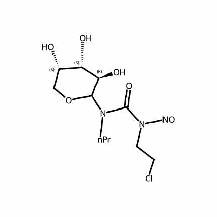 CCCN(C(=O)N(CCCl)N=O)C1OC[C@H](O)[C@H](O)[C@H]1O